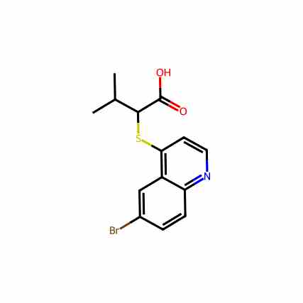 CC(C)C(Sc1ccnc2ccc(Br)cc12)C(=O)O